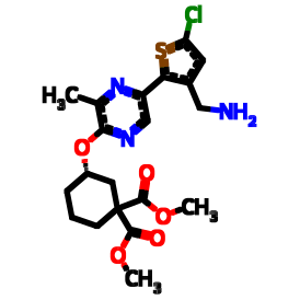 COC(=O)C1(C(=O)OC)CCC[C@H](Oc2ncc(-c3sc(Cl)cc3CN)nc2C)C1